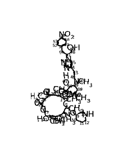 CO[C@]1(C)C[C@@H](C)/C(=N\O[C@@H]2CCCNC2)[C@H](C)[C@@H](O)[C@](C)(O)COC(=O)[C@H](C)C(=O)[C@H](C)[C@H]1O[C@@H]1O[C@H](C)C[C@H](N(C)CCc2cn([C@H](CO)Cc3ccc([N+](=O)[O-])cc3)nn2)[C@H]1O